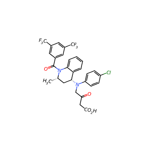 C[C@H]1C[C@@H](N(CC(=O)CC(=O)O)c2ccc(Cl)cc2)c2ccccc2N1C(=O)c1cc(C(F)(F)F)cc(C(F)(F)F)c1